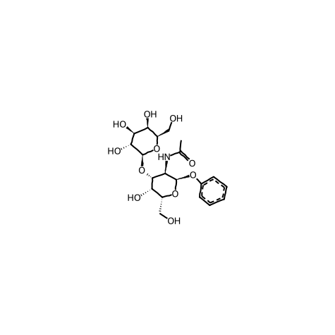 CC(=O)N[C@H]1[C@@H](Oc2ccccc2)O[C@H](CO)[C@H](O)[C@@H]1O[C@@H]1O[C@H](CO)[C@H](O)[C@H](O)[C@H]1O